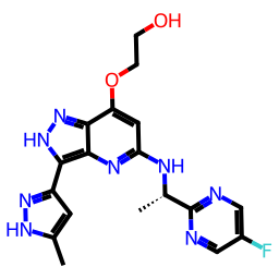 Cc1cc(-c2[nH]nc3c(OCCO)cc(N[C@@H](C)c4ncc(F)cn4)nc23)n[nH]1